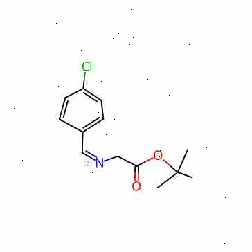 CC(C)(C)OC(=O)C/N=C\c1ccc(Cl)cc1